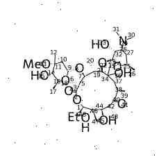 CC[C@H]1OC(=O)[C@H](C)[C@@H](O[C@H]2C[C@@](C)(OC)[C@@H](O)[C@H](C)O2)[C@H](C)[C@@H](O[C@@H]2O[C@H](C)C[C@H](N(C)C)[C@H]2O)C(C)(O)C[C@@H](C)C(=O)[C@H](C)[C@@H](O)[C@]1(C)O